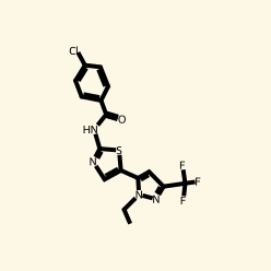 CCn1nc(C(F)(F)F)cc1-c1cnc(NC(=O)c2ccc(Cl)cc2)s1